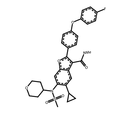 CNC(=O)c1c(-c2ccc(Oc3ccc(F)cc3)cc2)oc2cc(N(C3CCOCC3)S(C)(=O)=O)c(C3CC3)cc12